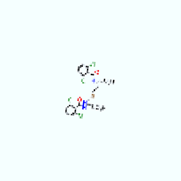 O=C(NC(CCSCC(NC(=O)c1c(Cl)cccc1Cl)C(=O)O)C(=O)O)c1c(Cl)cccc1Cl